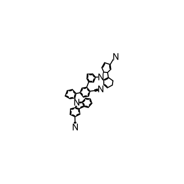 N#CC1=CC2C3=C(C=CCC3)N(c3cccc(-c4cc(-c5ccccc5-n5c6ccccc6c6cc(C#N)ccc65)ccc4C#N)c3)C2C=C1